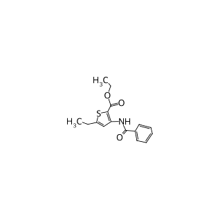 CCOC(=O)c1sc(CC)cc1NC(=O)c1ccccc1